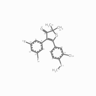 CSc1ccc(C2=C(c3cc(F)cc(F)c3)C(=O)C(C)(C)O2)cc1Cl